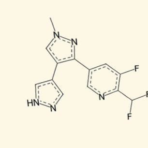 Cn1cc(-c2cn[nH]c2)c(-c2cnc(C(F)F)c(F)c2)n1